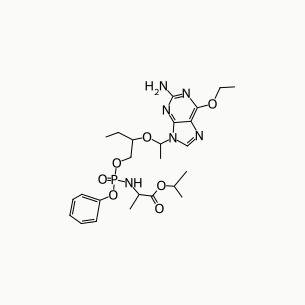 CCOc1nc(N)nc2c1ncn2C(C)OC(CC)COP(=O)(NC(C)C(=O)OC(C)C)Oc1ccccc1